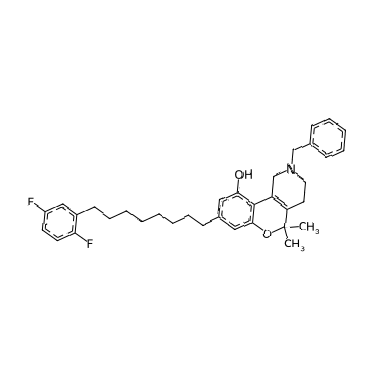 CC1(C)Oc2cc(CCCCCCCCc3cc(F)ccc3F)cc(O)c2C2=C1CCN(Cc1ccccc1)C2